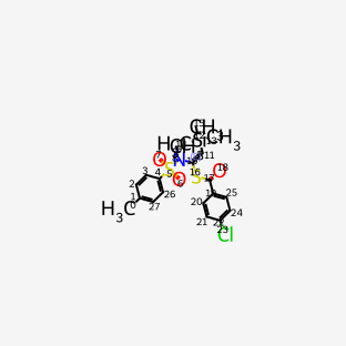 Cc1ccc(S(=O)(=O)N(C)/C(=C\[Si](C)(C)C)SC(=O)c2ccc(Cl)cc2)cc1